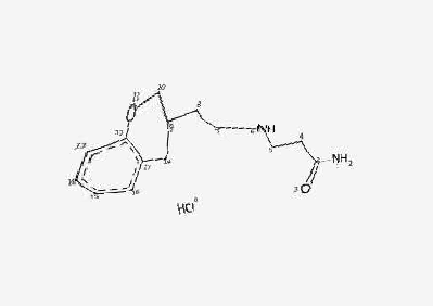 Cl.NC(=O)CCNCCC1COc2ccccc2C1